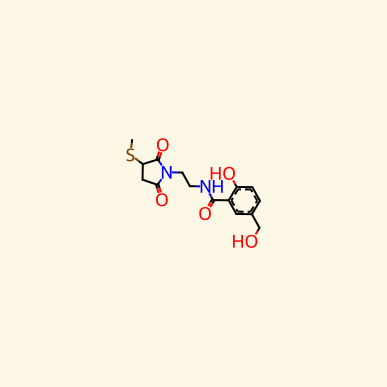 CSC1CC(=O)N(CCNC(=O)c2cc(CO)ccc2O)C1=O